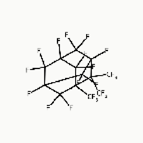 FC(F)(F)C12C(F)(F)C3(F)C(F)(F)C(F)(C(F)(F)C(F)(C3(F)F)C1(C(F)(F)F)C(F)(F)F)C2(F)F